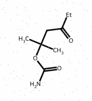 CCC(=O)CC(C)(C)OC(N)=O